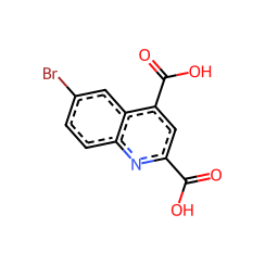 O=C(O)c1cc(C(=O)O)c2cc(Br)ccc2n1